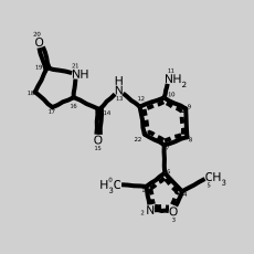 Cc1noc(C)c1-c1ccc(N)c(NC(=O)C2CCC(=O)N2)c1